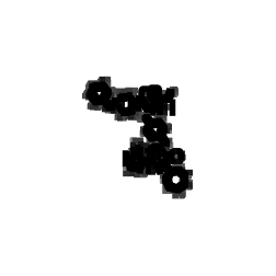 CCC(=O)N[C@H](Cc1ccc(CNC(=O)[C@@H](NC(=O)c2ccnn2C)C2CCCCCC2)cc1)C(=O)N1CCN(Cc2ccccc2)CC1